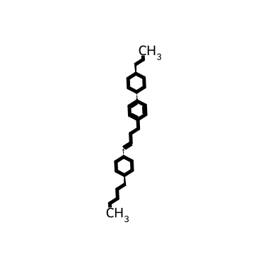 CCCCC[C@H]1CC[C@H](C=CCCc2ccc([C@H]3CC[C@H](CCC)CC3)cc2)CC1